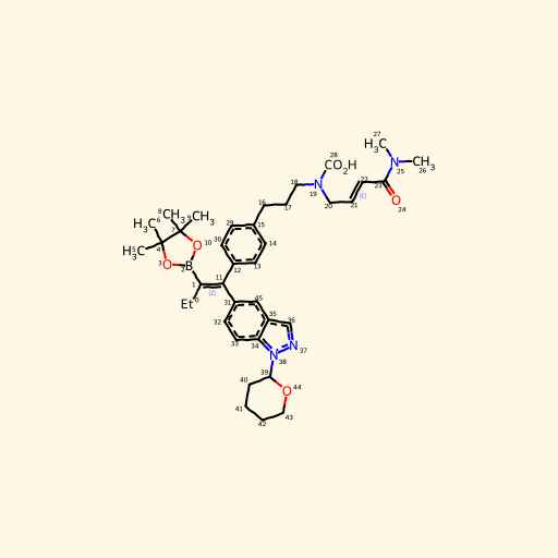 CC/C(B1OC(C)(C)C(C)(C)O1)=C(/c1ccc(CCCN(C/C=C/C(=O)N(C)C)C(=O)O)cc1)c1ccc2c(cnn2C2CCCCO2)c1